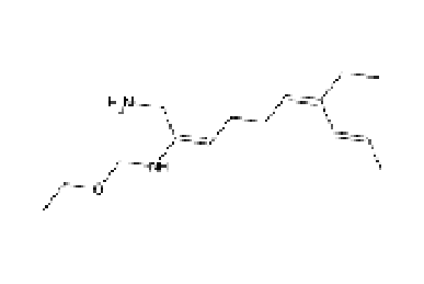 CC=C/C(=C\CC/C=C(\CN)NCOCC)CF